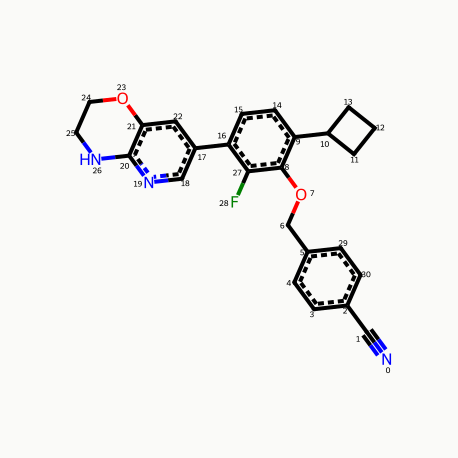 N#Cc1ccc(COc2c(C3CCC3)ccc(-c3cnc4c(c3)OCCN4)c2F)cc1